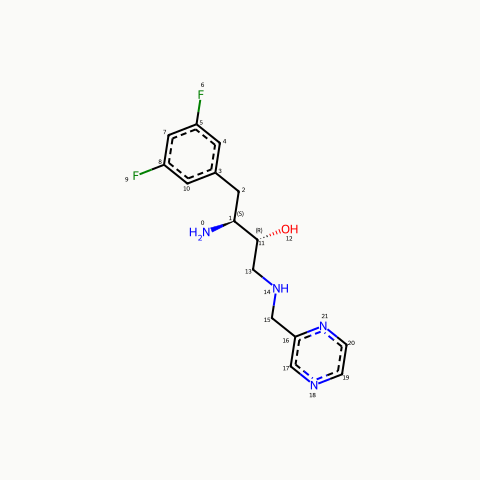 N[C@@H](Cc1cc(F)cc(F)c1)[C@H](O)CNCc1cnccn1